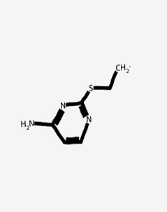 [CH2]CSc1nccc(N)n1